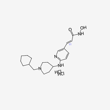 Cl.Cl.O=C(/C=C/c1ccc(NC2CCN(CC3CCCCC3)CC2)nc1)NO